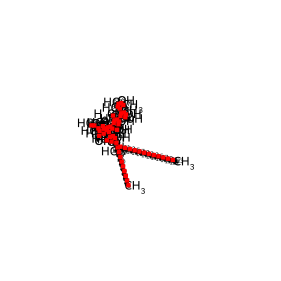 CCCCCCCCCCCCC/C=C/[C@@H](O)[C@H](CO[C@@H]1OC(CO)[C@@H](O[C@@H]2OC(CO)[C@H](O[C@@H]3OC(CO)[C@H](O)[C@H](O[C@@H]4OC(CO)[C@H](O)[C@H](O)C4O[C@H]4OC(C)[C@@H](O)C(O)[C@@H]4O)C3NC(C)=O)[C@H](O[C@]3(C(=O)O)CC(O)[C@@H](NC(=O)CO)C([C@H](O)[C@H](O)CO)O3)C2O)[C@H](O)C1O)NC(=O)CCCCCCCCCCCCCCCCCCCCCCC